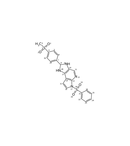 CS(=O)(=O)c1ccc(C2Nc3cnc4c(ccn4S(=O)(=O)c4ccccc4)c3N2)cc1